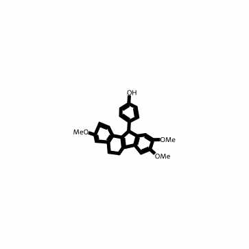 COc1ccc2c(c1)CCC1=C2C(c2ccc(O)cc2)c2cc(OC)c(OC)cc21